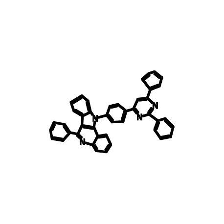 c1ccc(-c2cc(-c3ccc(-n4c5ccccc5c5c(-c6ccccc6)nc6ccccc6c54)cc3)nc(-c3ccccc3)n2)cc1